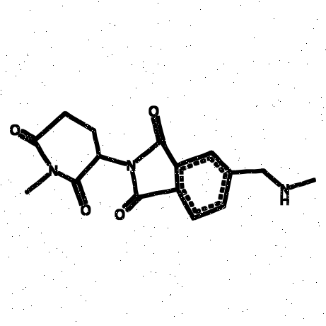 CNCc1ccc2c(c1)C(=O)N(C1CCC(=O)N(C)C1=O)C2=O